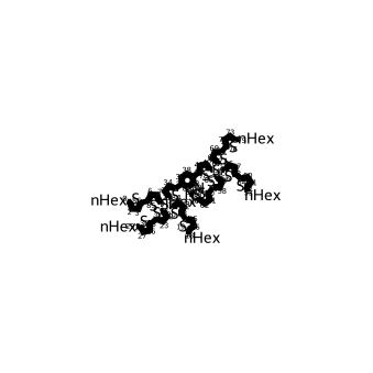 CCCCCCc1ccc(-c2ccc([Si](c3ccc(-c4ccc(CCCCCC)s4)s3)(c3ccc(-c4ccc(CCCCCC)s4)s3)c3ccc(-c4ccc(-c5ccc([Si](c6ccc(-c7ccc(CCCCCC)s7)s6)(c6ccc(-c7ccc(CCCCCC)s7)s6)c6ccc(-c7ccc(CCCCCC)s7)s6)s5)c5nsnc45)s3)s2)s1